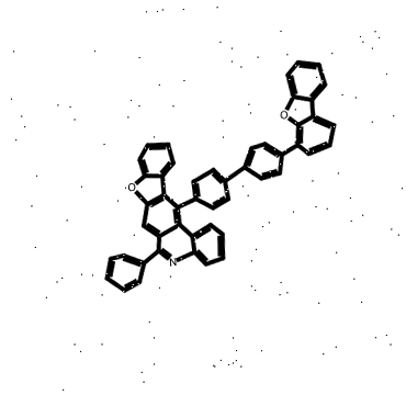 c1ccc(-c2nc3ccccc3c3c(-c4ccc(-c5ccc(-c6cccc7c6oc6ccccc67)cc5)cc4)c4c(cc23)oc2ccccc24)cc1